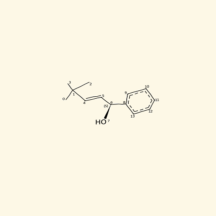 CC(C)(C)C=C[C@H](O)c1ccccc1